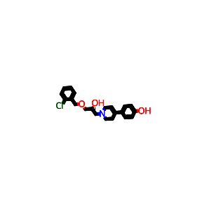 Oc1ccc(C2=CCN(C[C@H](O)COCc3ccccc3Cl)CC2)cc1